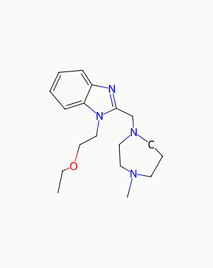 CCOCCn1c(CN2CCCN(C)CC2)nc2ccccc21